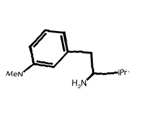 CNc1cccc(CC(N)[C](C)C)c1